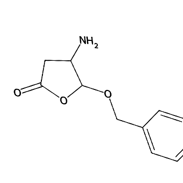 NC1CC(=O)OC1OCc1ccccc1